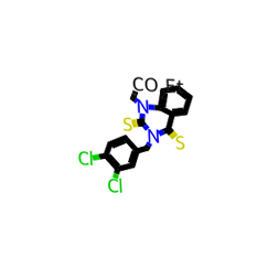 CCOC(=O)Cn1c(=S)n(Cc2ccc(Cl)c(Cl)c2)c(=S)c2ccccc21